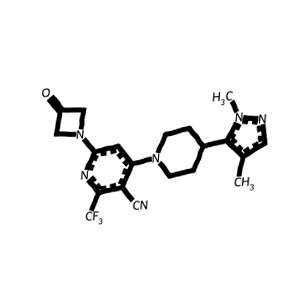 Cc1cnn(C)c1C1CCN(c2cc(N3CC(=O)C3)nc(C(F)(F)F)c2C#N)CC1